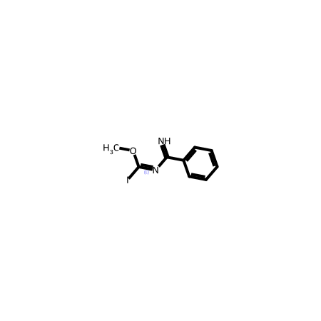 CO/C(I)=N\C(=N)c1ccccc1